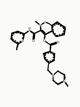 Cc1cccc(NC(=O)C2=C(OC(=O)c3ccc(CN4CCN(C)CC4)cc3)c3ccccc3SN2C)n1